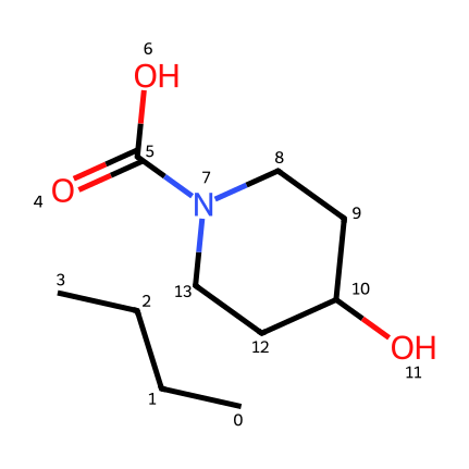 CCCC.O=C(O)N1CCC(O)CC1